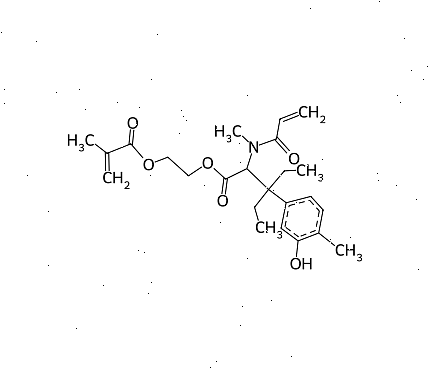 C=CC(=O)N(C)C(C(=O)OCCOC(=O)C(=C)C)C(CC)(CC)c1ccc(C)c(O)c1